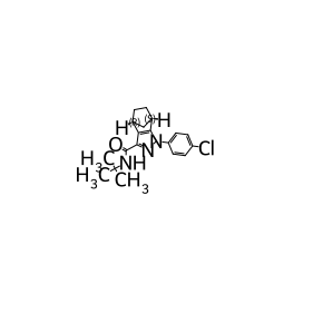 CC(C)(C)NC(=O)c1nn(-c2ccc(Cl)cc2)c2c1[C@@H]1CC[C@H]2C1